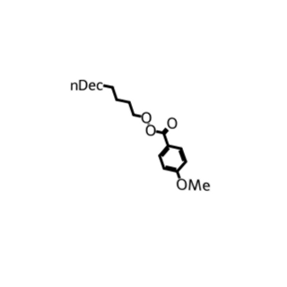 [CH2]CCCCCCCCCCCCCOOC(=O)c1ccc(OC)cc1